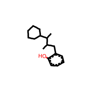 CC(Cc1ccccc1O)C(C)C1CCCCC1